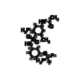 CC(=O)Nc1cc(C)c(S(=O)(=O)Nc2cccc(OC(F)(F)P)c2)c(P)c1